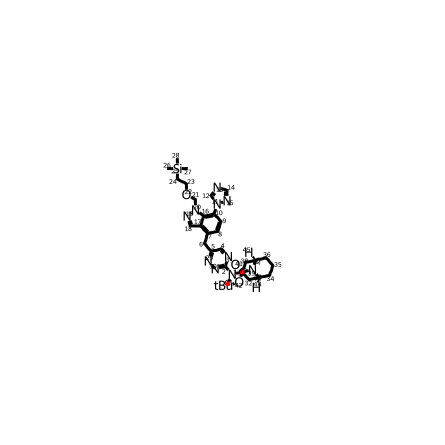 CN(c1ncc(Cc2ccc(-n3cncn3)c3c2cnn3COCC[Si](C)(C)C)nn1)C1C[C@H]2CCC[C@@H](C1)N2C(=O)OC(C)(C)C